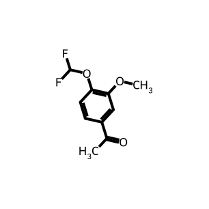 COc1cc(C(C)=O)ccc1OC(F)F